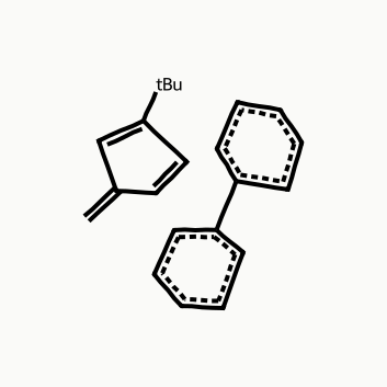 C=C1C=CC(C(C)(C)C)=C1.c1ccc(-c2ccccc2)cc1